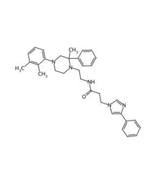 Cc1cccc(N2CCN(CCNC(=O)CCn3cnc(-c4ccccc4)c3)C(C)(c3ccccc3)C2)c1C